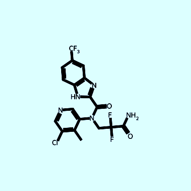 Cc1c(Cl)cncc1N(CC(F)(F)C(N)=O)C(=O)c1nc2cc(C(F)(F)F)ccc2[nH]1